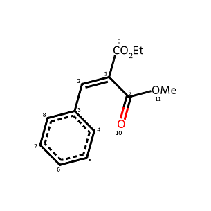 CCOC(=O)C(=Cc1ccccc1)C(=O)OC